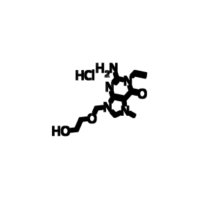 C=Cn1c(N)nc2c(c1=O)N(C)CN2COCCO.Cl